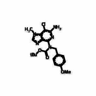 COc1ccc(CN(C(=O)OC(C)(C)C)c2nc(N)c(Cl)c3c2ncn3C)cc1